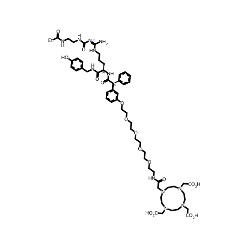 CCC(=O)NCCNC(=O)/N=C(/N)NCCC[C@@H](NC(=O)[C@@H](c1ccccc1)c1cccc(OCCOCCOCCOCCOCCNC(=O)CN2CCN(CC(=O)O)CCN(CC(=O)O)CCN(CC(=O)O)CC2)c1)C(=O)NCc1ccc(O)cc1